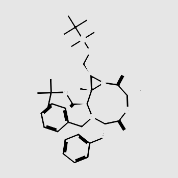 C[C@@H]1NC(=O)[C@H](Cc2ccccc2)N(Cc2ccccc2)[C@@H](C(=O)NC(C)(C)C)[C@@H]2[C@@H](CO[Si](C)(C)C(C)(C)C)N2C1=O